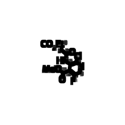 CCOC(=O)CC(=O)Nc1c(Cl)ncc(F)c1C(=O)OC